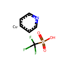 O=S(=O)(O)C(F)(F)F.[Cu].c1ccncc1